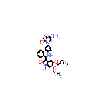 CCOc1cc2c(cc1OCC)C(=C(Nc1ccc(N(CC(N)=O)C(C)=O)cc1)c1ccccc1)C(=O)N2